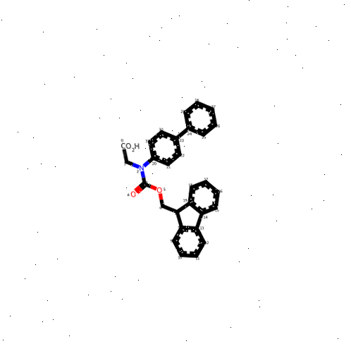 O=C(O)CN(C(=O)OCC1c2ccccc2-c2ccccc21)c1ccc(-c2ccccc2)cc1